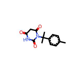 Cc1ccc(C(C)(C)N2C(=O)CC(=O)NC2=O)cc1